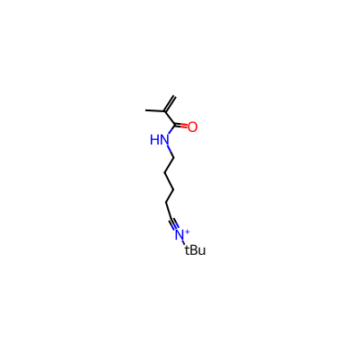 C=C(C)C(=O)NCCCCC#[N+]C(C)(C)C